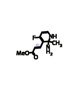 COC(=O)/C=C/C1=C(F)C=CNC1(C)N